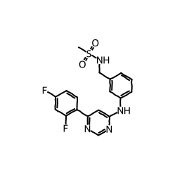 CS(=O)(=O)NCc1cccc(Nc2cc(-c3ccc(F)cc3F)ncn2)c1